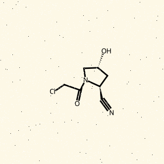 N#C[C@@H]1C[C@@H](O)CN1C(=O)CCl